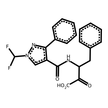 O=C(O)C(=O)C(Cc1ccccc1)NC(=O)c1cn(C(F)F)nc1-c1ccccc1